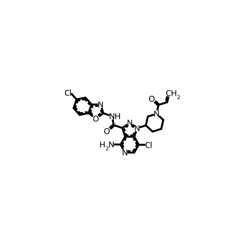 C=CC(=O)N1CCCC(n2nc(C(=O)Nc3nc4cc(Cl)ccc4o3)c3c(N)ncc(Cl)c32)C1